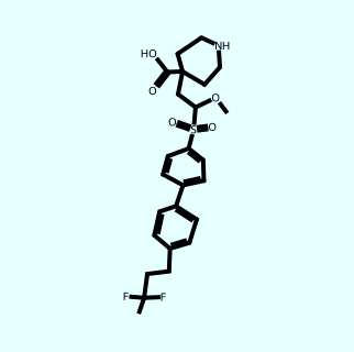 COC(CC1(C(=O)O)CCNCC1)S(=O)(=O)c1ccc(-c2ccc(CCC(C)(F)F)cc2)cc1